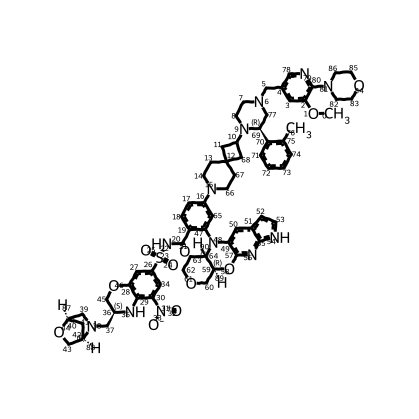 COc1cc(CN2CCN(C3CC4(CCN(c5ccc(C(=O)NS(=O)(=O)c6cc7c(c([N+](=O)[O-])c6)N[C@@H](CN6C[C@H]8C[C@@H]6CO8)CO7)c(N6c7cc8cc[nH]c8nc7O[C@H]7COCC[C@@H]76)c5)CC4)C3)[C@H](c3ccccc3C)C2)cnc1N1CCOCC1